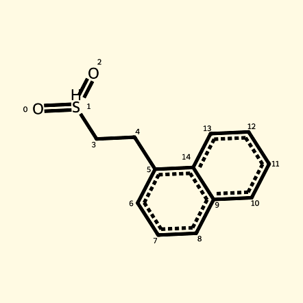 O=[SH](=O)CCc1cccc2ccccc12